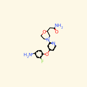 NC(=O)CC1CN(c2cc(Oc3ccc(N)cc3F)ccn2)CCO1